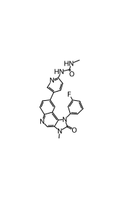 CNC(=O)Nc1ccc(-c2ccc3ncc4c(c3c2)n(-c2cccc(F)c2)c(=O)n4C)cn1